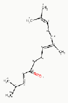 CC(C)=CCCC(C)=CCCC(=O)C=CC(C)C